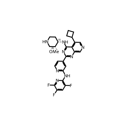 CO[C@@H]1CNCC[C@@H]1Nc1nc(-c2ccnc(Nc3nc(F)c(F)cc3F)c2)nc2cncc(C3CCC3)c12